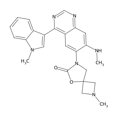 CNc1cc2ncnc(-c3cn(C)c4ccccc34)c2cc1N1CC2(CN(C)C2)OC1=O